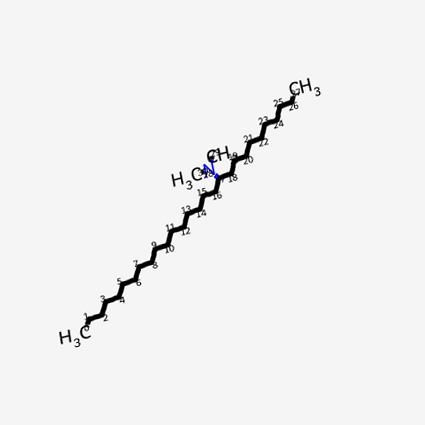 CCCCCCCCCCCCCCCCCC(CCCCCCCCCC)N(C)C